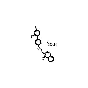 CS(=O)(=O)O.O=c1c2ccccc2ncn1CCOc1ccc(-c2ccc(F)cc2F)cc1